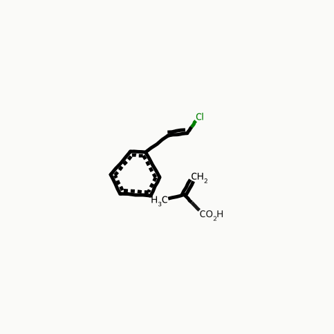 C=C(C)C(=O)O.ClC=Cc1ccccc1